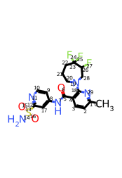 Cc1ccc(C(=O)Nc2ccnc(S(N)(=O)=O)c2)c(N2CCCC(F)(F)C(F)C2)n1